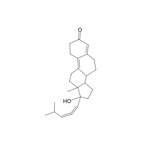 CC(C)C=C=CC1(O)CCC2C3CCC4=CC(=O)CCC4=C3CCC21C